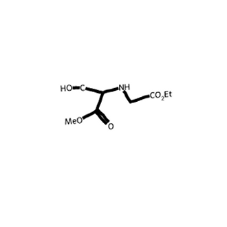 CCOC(=O)CNC(CO)C(=O)OC